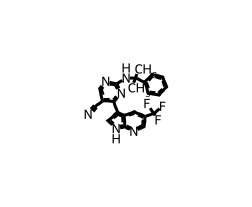 CC(C)(Nc1ncc(C#N)c(-c2c[nH]c3ncc(C(F)(F)F)cc23)n1)c1ccccc1